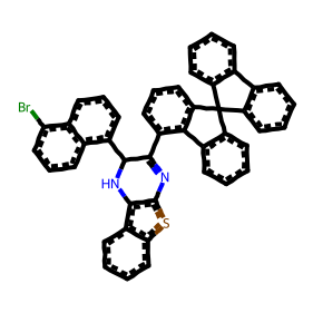 Brc1cccc2c(C3Nc4c(sc5ccccc45)N=C3c3cccc4c3-c3ccccc3C43c4ccccc4-c4ccccc43)cccc12